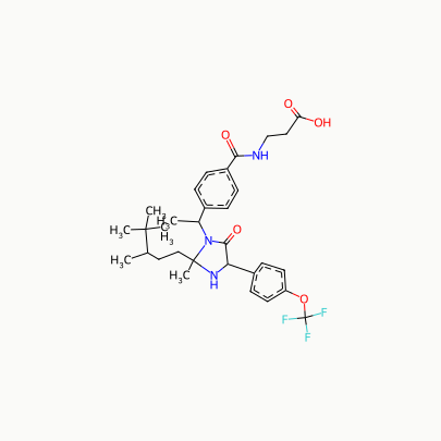 CC(c1ccc(C(=O)NCCC(=O)O)cc1)N1C(=O)C(c2ccc(OC(F)(F)F)cc2)NC1(C)CCC(C)C(C)(C)C